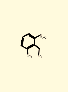 Cc1cccc(C)c1CN.Cl